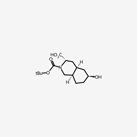 CC(C)(C)OC(=O)N1C[C@@H]2CC[C@H](O)C[C@@H]2C[C@H]1C(=O)O